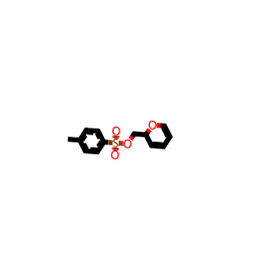 Cc1ccc(S(=O)(=O)OCC2C=CC=CO2)cc1